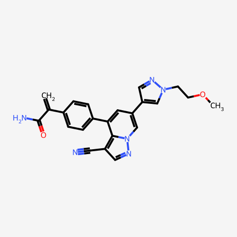 C=C(C(N)=O)c1ccc(-c2cc(-c3cnn(CCOC)c3)cn3ncc(C#N)c23)cc1